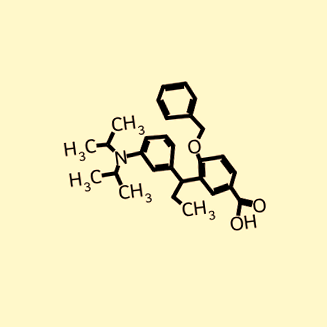 CCC(c1cccc(N(C(C)C)C(C)C)c1)c1cc(C(=O)O)ccc1OCc1ccccc1